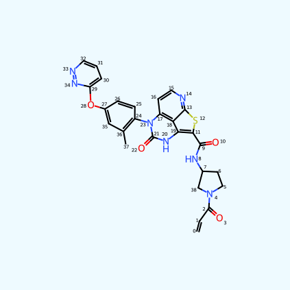 C=CC(=O)N1CCC(NC(=O)c2sc3nccc4c3c2NC(=O)N4c2ccc(Oc3cccnn3)cc2C)C1